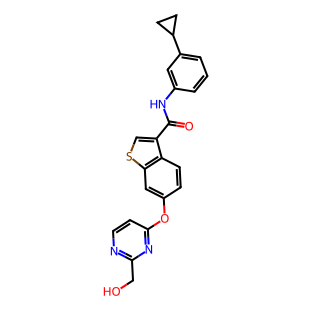 O=C(Nc1cccc(C2CC2)c1)c1csc2cc(Oc3ccnc(CO)n3)ccc12